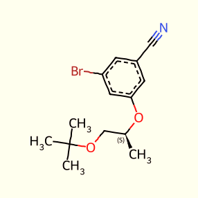 C[C@@H](COC(C)(C)C)Oc1cc(Br)cc(C#N)c1